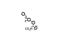 O=C(O)CC(c1cccc(-c2ccc(OCc3ccccc3)c(F)c2)c1)c1nccs1